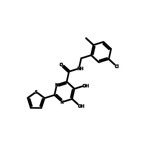 Cc1ccc(Cl)cc1CNC(=O)c1nc(-c2cccs2)nc(O)c1O